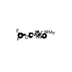 CC(=O)Nc1cccc(Nc2ncnc(N3CCC(OCc4cc(F)cc(F)c4)CC3)n2)c1C